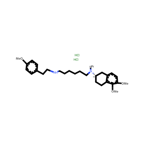 CCCN(CCCCCCNCCc1ccc(OC)cc1)[C@H]1CCc2c(ccc(OC)c2OC)C1.Cl.Cl